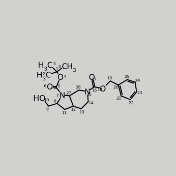 CC(C)(C)OC(=O)N1C(CO)CC2CCN(C(=O)OCc3ccccc3)CC21